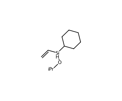 C=C[SiH](OC(C)C)C1CCCCC1